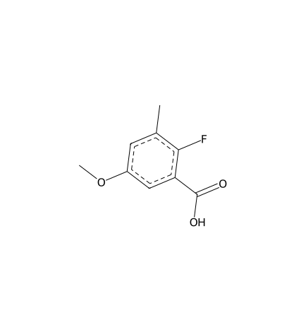 COc1cc(C)c(F)c(C(=O)O)c1